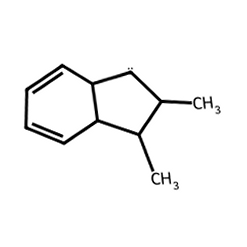 CC1[C]C2C=CC=CC2C1C